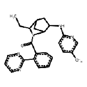 CCC1C2CC(Nc3ccc(C)cn3)C(C2)N1C(=O)c1ccccc1-c1ncccn1